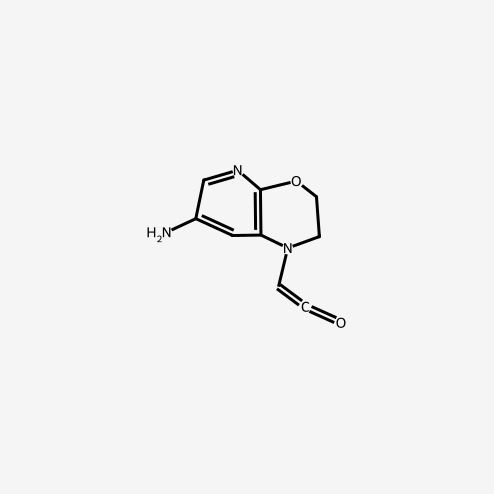 Nc1cnc2c(c1)N(C=C=O)CCO2